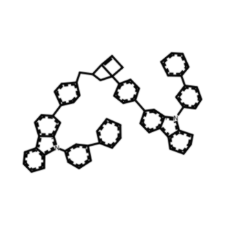 C1=C2C(Cc3ccc(-c4ccc5c6ccccc6n(-c6cccc(-c7ccccc7)c6)c5c4)cc3)CC2(c2ccc(-c3ccc4c5ccccc5n(-c5cccc(-c6ccccc6)c5)c4c3)cc2)C1